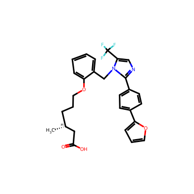 C[C@H](CCCOc1ccccc1Cn1c(C(F)(F)F)cnc1-c1ccc(-c2ccco2)cc1)CC(=O)O